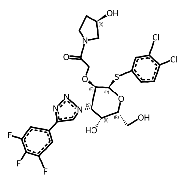 O=C(CO[C@@H]1[C@@H](n2cc(-c3cc(F)c(F)c(F)c3)nn2)[C@@H](O)[C@@H](CO)O[C@@H]1Sc1ccc(Cl)c(Cl)c1)N1CC[C@@H](O)C1